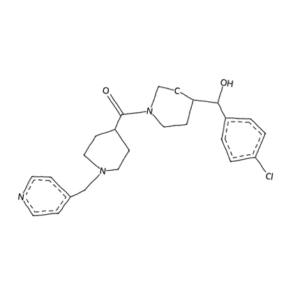 O=C(C1CCN(Cc2ccncc2)CC1)N1CCC(C(O)c2ccc(Cl)cc2)CC1